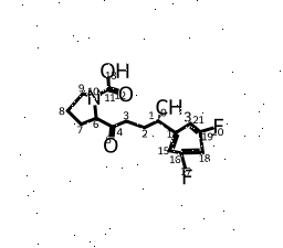 C[C@@H](CCC(=O)C1CCCN1C(=O)O)c1cc(F)cc(F)c1